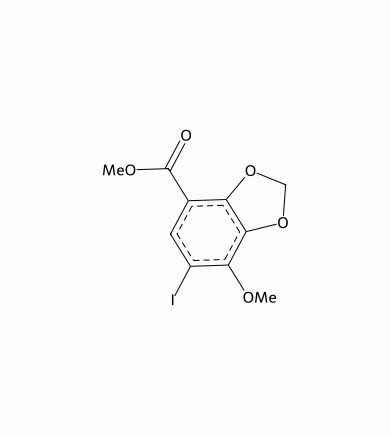 COC(=O)c1cc(I)c(OC)c2c1OCO2